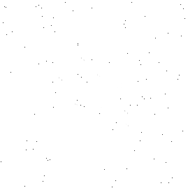 Clc1nnccc1-c1ncnc2[nH]cnc12